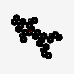 c1ccc2c(-c3c4cccc(-c5cc6ccccc6c6c5oc5ccccc56)c4cc4c(-c5cc6ccc(-c7cccc8c(-c9c%10cccc(-c%11cccc%12c%11oc%11ccc%13ccccc%13c%11%12)c%10cc%10c(-c%11cccc%12c%11oc%11ccc%13ccccc%13c%11%12)cccc9%10)cccc78)cc6c6c5oc5ccccc56)cccc34)cccc2c1